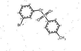 Cc1ccc(S(=O)(=O)Oc2cccc(Br)c2)cc1